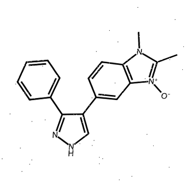 Cc1n(C)c2ccc(-c3c[nH]nc3-c3ccccc3)cc2[n+]1[O-]